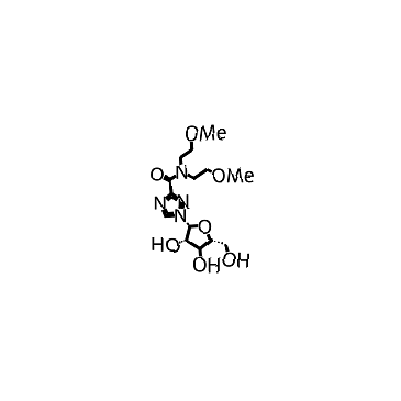 COCCN(CCOC)C(=O)c1ncn([C@@H]2O[C@H](CO)C(O)[C@@H]2O)n1